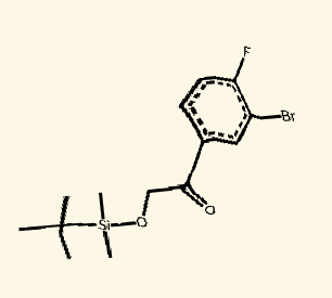 CC(C)(C)[Si](C)(C)OCC(=O)c1ccc(F)c(Br)c1